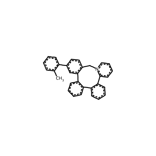 Cc1ccccc1-c1ccc2c(c1)-c1ccccc1-c1ccccc1-c1cccc[n+]1C2